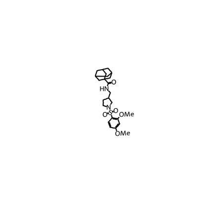 COc1ccc(S(=O)(=O)N2CCC(CNC(=O)C34CC5CC(CC(C5)C3)C4)C2)c(OC)c1